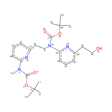 CN(C(=O)OC(C)(C)C)c1cccc(CCN(C(=O)OC(C)(C)C)c2cccc(CCO)n2)n1